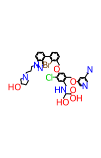 N#Cc1cncc(OCc2cc(OCc3cccc(-c4cccc5c4cnn5CCCN4CC[C@@H](O)C4)c3Br)c(Cl)cc2CNC(CO)C(=O)O)c1